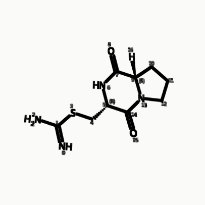 N=C(N)SC[C@@H]1NC(=O)[C@@H]2CCCN2C1=O